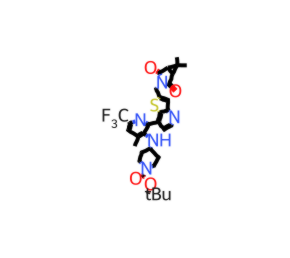 Cc1cc(C(F)(F)F)nc(-c2ccnc3cc(CN4C(=O)C5C(C4=O)C5(C)C)sc23)c1NC1CCN(C(=O)OC(C)(C)C)CC1